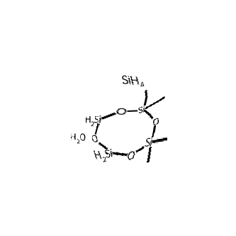 C[Si]1(C)O[SiH2]O[SiH2]O[Si](C)(C)O1.O.[SiH4]